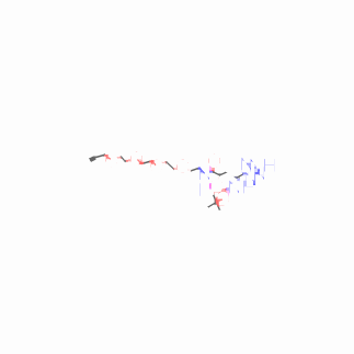 C#CCOCCOCCOCCOCCNC(=O)CC[C@H](NC(=O)OC(C)(C)C)c1nn[nH]n1